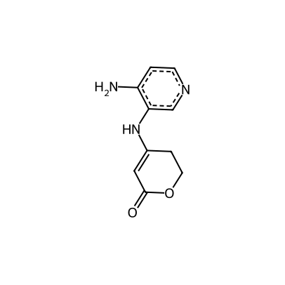 Nc1ccncc1NC1=CC(=O)OCC1